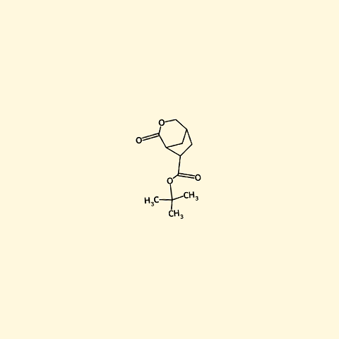 CC(C)(C)OC(=O)C1CC2COC(=O)C1C2